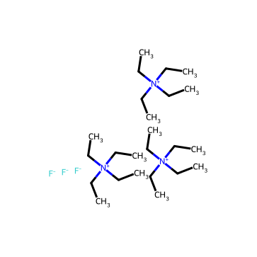 CC[N+](CC)(CC)CC.CC[N+](CC)(CC)CC.CC[N+](CC)(CC)CC.[F-].[F-].[F-]